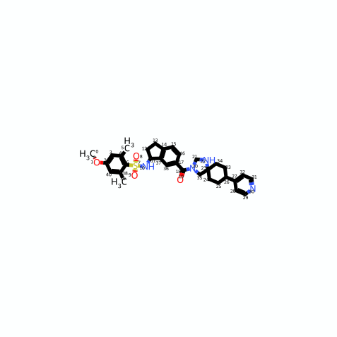 COc1cc(C)c(S(=O)(=O)NC2CCc3ccc(C(=O)N4CNC5(CCC(c6ccncc6)CC5)C4)cc32)c(C)c1